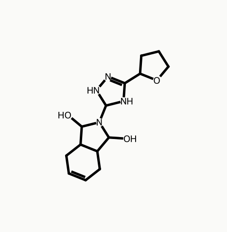 OC1C2CC=CCC2C(O)N1C1NN=C(C2CCCO2)N1